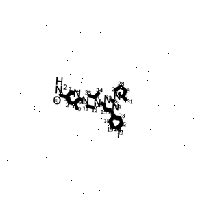 Cc1cc(C(N)=O)cnc1N1CCN(c2cc(-c3ccc(F)cc3)nc(N3CCCC3C)n2)C(C)C1